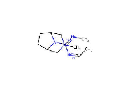 C/C=N\C(=N/C)N1C2CCC1CN(C)C2